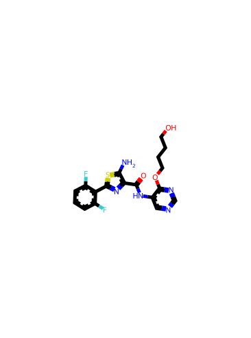 Nc1sc(-c2c(F)cccc2F)nc1C(=O)Nc1cncnc1OCCCCO